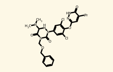 CC(C)c1cc(Oc2c(Cl)cc(N3NC(N(C)C)C(=O)N(COCc4ccccc4)C3=O)cc2Cl)n[nH]c1=O